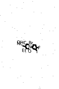 CCc1c(CC#N)c(C=O)cn(-c2cc(I)c(F)cc2Br)c1=O